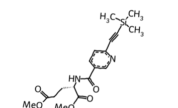 COC(=O)CC[C@H](NC(=O)c1ccc(C#C[Si](C)(C)C)nc1)C(=O)OC